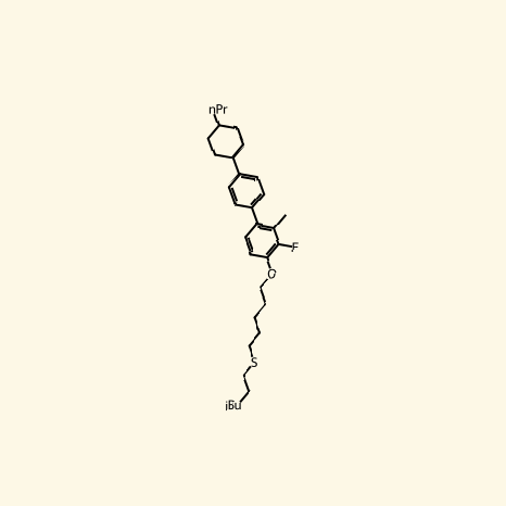 CCCC1CCC(c2ccc(-c3ccc(OCCCCCSCCC(C)CC)c(F)c3C)cc2)CC1